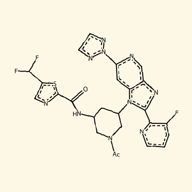 CC(=O)N1CC(NC(=O)c2ncc(C(F)F)s2)CC(n2c(-c3ncccc3F)nc3cnc(-n4nccn4)cc32)C1